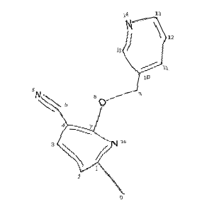 Cc1ccc(C#N)c(OCc2cccnc2)n1